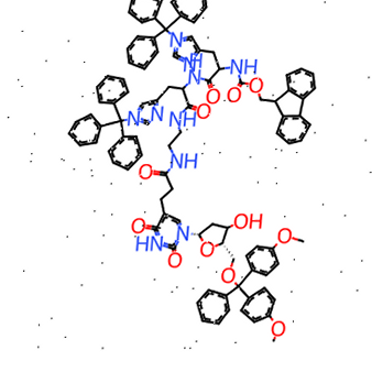 COc1ccc(C(OC[C@@H]2O[C@H](n3cc(CCC(=O)NCCNC(=O)C(Cc4cn(C(c5ccccc5)(c5ccccc5)c5ccccc5)cn4)NC(=O)C(Cc4cn(C(c5ccccc5)(c5ccccc5)c5ccccc5)cn4)NC(=O)OCC4c5ccccc5-c5ccccc54)c(=O)[nH]c3=O)CC2O)(c2ccccc2)c2ccc(OC)cc2)cc1